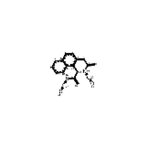 C=C(Cc1ccc2ccccc2c1CC(=C)N=C=O)N=C=O